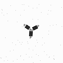 [P]#[Ru](#[P])#[P]